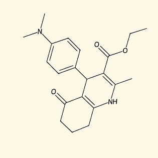 CCOC(=O)C1=C(C)NC2=C(C(=O)CCC2)C1c1ccc(N(C)C)cc1